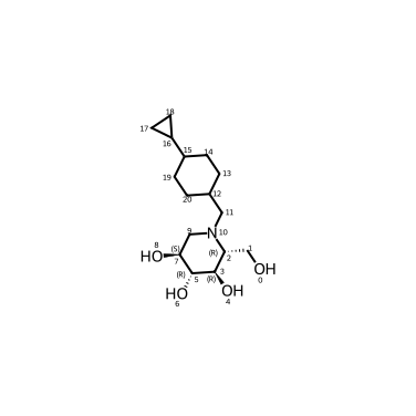 OC[C@@H]1[C@@H](O)[C@H](O)[C@@H](O)CN1CC1CCC(C2CC2)CC1